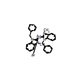 Cn1/[c](=[Ag](/[Br])=[c]2/n(C)c3ccccc3n2Cc2ccccc2)n(Cc2ccccc2)c2ccccc21